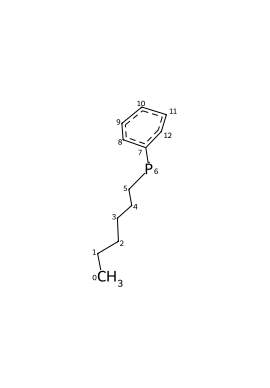 CCCCCC[P]c1ccccc1